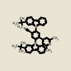 Cc1cc(-c2cc(-n3c4ccccc4c4ccc(C(C)(C)C)cc43)c(C#N)cc2-n2c3ccccc3c3ccc(C(C)(C)C)cc32)cc(C)n1